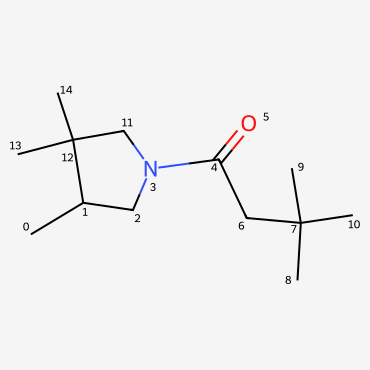 CC1CN(C(=O)CC(C)(C)C)CC1(C)C